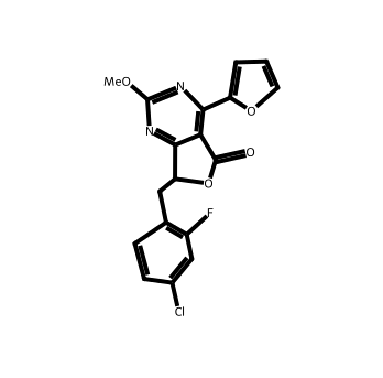 COc1nc(-c2ccco2)c2c(n1)C(Cc1ccc(Cl)cc1F)OC2=O